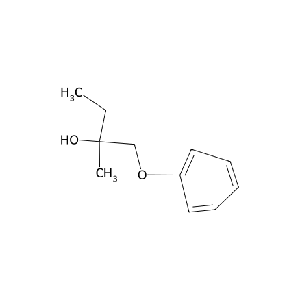 CCC(C)(O)COc1ccccc1